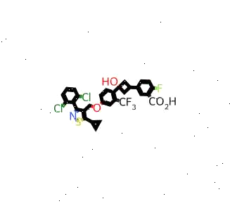 O=C(O)c1cc(C2CC(O)(c3ccc(OCc4c(-c5c(Cl)cccc5Cl)nsc4C4CC4)cc3C(F)(F)F)C2)ccc1F